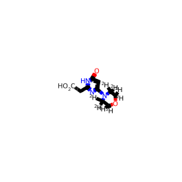 [2H]C1([2H])OC([2H])([2H])C([2H])([2H])N(c2cc(=O)[nH]c(CC(=O)O)n2)C1([2H])[2H]